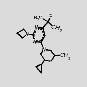 CC1CC(C2CC2)CN(c2cc(C(C)(C)F)nc(N3CCC3)n2)C1